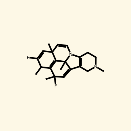 CC1C(F)=CC2(C)C=CN3C4=C(CN(C)CC4)C4=CC(C)(F)C1=C2C43C